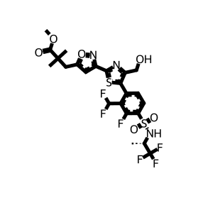 COC(=O)C(C)(C)Cc1cc(-c2nc(CO)c(-c3ccc(S(=O)(=O)N[C@@H](C)C(F)(F)F)c(F)c3C(F)F)s2)no1